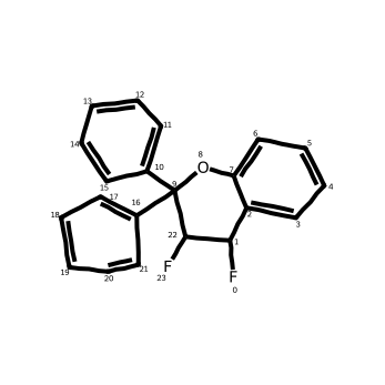 FC1c2ccccc2OC(c2ccccc2)(c2ccccc2)C1F